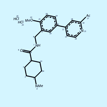 CNC1CCC(C(=O)NCc2cc(-c3ccnc(C(C)=O)c3)ccc2OC)CC1.Cl.Cl